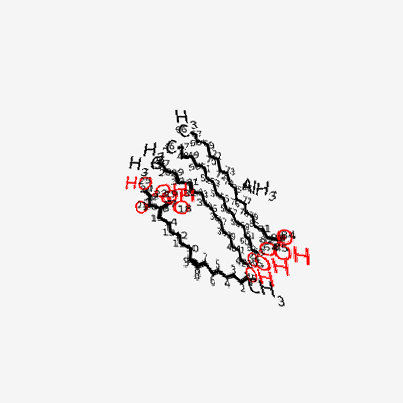 CCCCCCCC/C=C\CCCCCCC(C(=O)O)C(=O)C(O)CO.CCCCCCCCCCCCCCCCCC(=O)O.CCCCCCCCCCCCCCCCCC(=O)O.CCCCCCCCCCCCCCCCCC(=O)O.[AlH3]